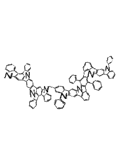 Cn1c2ccccc2c2c3c4ccccc4n4c5cc6c7cc8c(c9ccccc9n8Cc8ccc9c%10cc%11c(cc%10n(-c%10ccccc%10)c9c8)c8cccc9c%10c(-c%12ccccc%12)c%12c(c(-c%13ccccc%13)c%10n%11c89)c8cccc9c%10cc%11c(cc%10n%12c98)c8ccccc8n%11-c8ccccc8)c8c9ccccc9n(c6cc5c(cc21)c34)c78